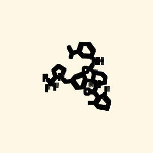 Cc1cccc(F)c1C(=O)N1CCC[C@H](C(=O)Nc2cccc(C(C)C)c2)[C@@H]1c1ccc(CN2CCCC2C(F)(F)F)cc1